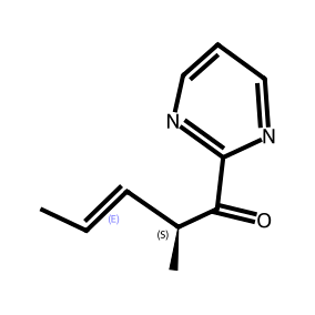 C/C=C/[C@H](C)C(=O)c1ncccn1